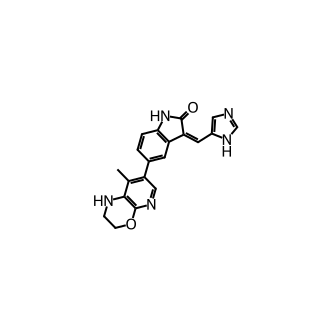 Cc1c(-c2ccc3c(c2)C(=Cc2cnc[nH]2)C(=O)N3)cnc2c1NCCO2